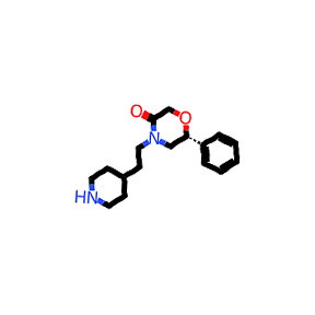 O=C1CO[C@H](c2ccccc2)CN1CCC1CCNCC1